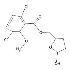 COc1c(Cl)ccc(Cl)c1C(=O)OCC1CCC(O)O1